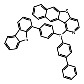 c1ccc(-c2ccc(N(c3ccc(-c4cccc5c4sc4ccccc45)cc3)c3nccc4sc5cc6ccccc6cc5c34)cc2)cc1